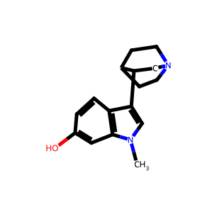 Cn1cc(C2CN3CCC2CC3)c2ccc(O)cc21